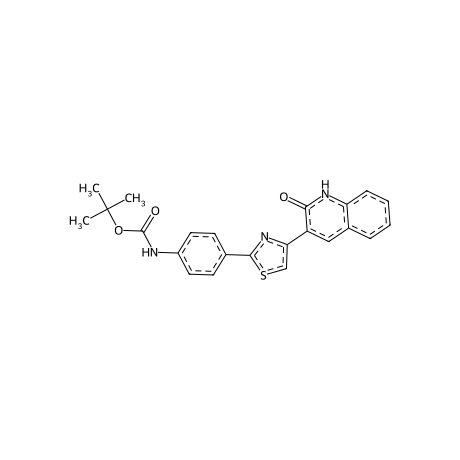 CC(C)(C)OC(=O)Nc1ccc(-c2nc(-c3cc4ccccc4[nH]c3=O)cs2)cc1